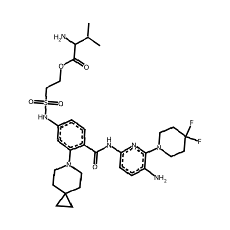 CC(C)C(N)C(=O)OCCS(=O)(=O)Nc1ccc(C(=O)Nc2ccc(N)c(N3CCC(F)(F)CC3)n2)c(N2CCC3(CC2)CC3)c1